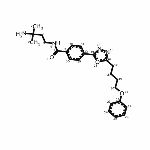 CC(C)(N)CCNC(=O)c1ccc(-c2nnc(CCCCOc3ccccc3)o2)cc1